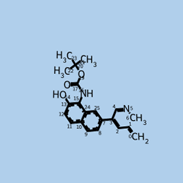 C=C/C=C(\C=N/C)c1ccc2ccc(O)c(NC(=O)OC(C)(C)C)c2c1